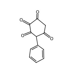 O=C1CC(=O)C(c2ccccc2)C(=O)C1=O